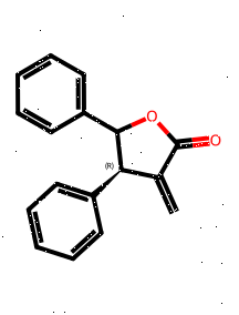 C=C1C(=O)OC(c2ccccc2)[C@@H]1c1ccccc1